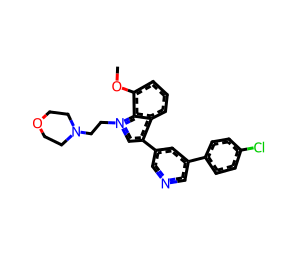 COc1cccc2c(-c3cncc(-c4ccc(Cl)cc4)c3)cn(CCN3CCOCC3)c12